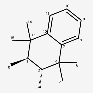 C[C@@H]1[C@@H](C)C(C)(C)c2ccccc2C1(C)C